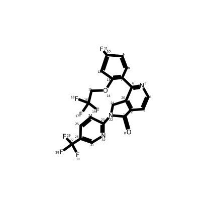 O=C1c2ccnc(-c3ccc(F)cc3OCC(F)(F)F)c2CN1c1ccc(C(F)(F)F)cn1